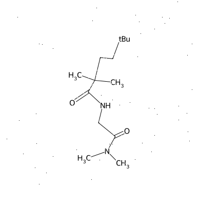 CN(C)C(=O)CNC(=O)C(C)(C)CCC(C)(C)C